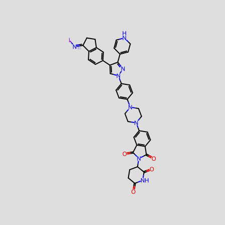 O=C1CCC(N2C(=O)c3ccc(N4CCN(c5ccc(-n6cc(-c7ccc8c(c7)CC/C8=N\I)c(C7=CCNC=C7)n6)cc5)CC4)cc3C2=O)C(=O)N1